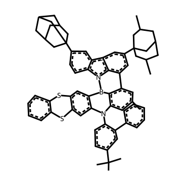 Cc1cc2c3c(c1)N(c1ccc(C(C)(C)C)cc1-c1ccccc1)c1cc4c(cc1B3n1c3ccc(C56CC7CC(CC(C7)C5)C6)cc3c3cc(C56CC(C)CC(CC(C)C5)C6)cc-2c31)Sc1ccccc1S4